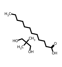 CC(C)(CO)CO.CCCCCCCCCCCC(=O)O